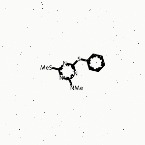 CNc1nc(SC)nc(Sc2ccccc2)n1